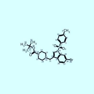 Cc1ccc(S(=O)(=O)n2cc(CN3CCN(C(=O)OC(C)(C)C)CC3)c3ccc(Br)cc32)cc1